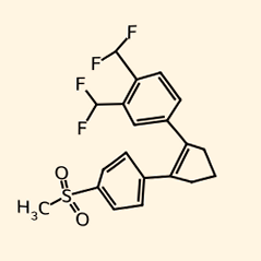 CS(=O)(=O)c1ccc(C2=C(c3ccc(C(F)F)c(C(F)F)c3)CCC2)cc1